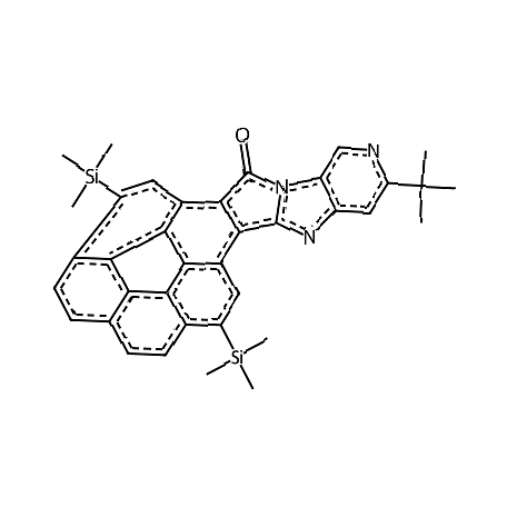 CC(C)(C)c1cc2nc3c4c5cc([Si](C)(C)C)c6ccc7ccc8c([Si](C)(C)C)cc(c4c(=O)n3c2cn1)c1c8c7c6c51